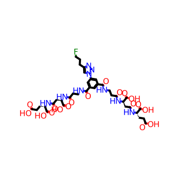 O=C(O)CC[C@H](NC(=O)C[C@@H](NC(=O)CCNC(=O)c1cc(C(=O)NCCC(=O)N[C@H](CC(=O)N[C@@H](CCC(=O)O)C(=O)O)C(=O)O)cc(-n2cc(CCCF)nn2)c1)C(=O)O)C(=O)O